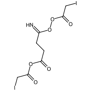 N=C(CCC(=O)OC(=O)CI)OOC(=O)CI